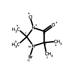 CC1(C)C(=O)N(Cl)C(C)(C)N1Br